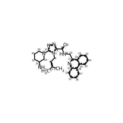 CC(C)=CCn1c(C(=O)NCc2nc3ccccc3c3ccccc23)nnc1N1CCCC(N)C1